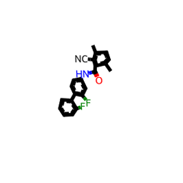 Cc1ccc(C)c(C(=O)Nc2ccc(-c3ccccc3F)c(F)c2)c1C#N